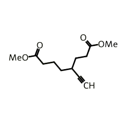 C#CC(CCCC(=O)OC)CCC(=O)OC